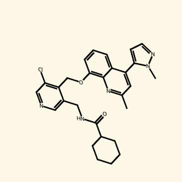 Cc1cc(-c2ccnn2C)c2cccc(OCc3c(Cl)cncc3CNC(=O)C3CCCCC3)c2n1